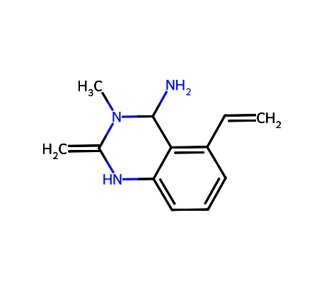 C=Cc1cccc2c1C(N)N(C)C(=C)N2